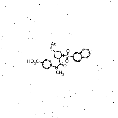 CC(=O)SC1CC(C(=O)N(C)c2ccc(C(=O)O)cc2)N(S(=O)(=O)c2ccc3ccccc3c2)C1